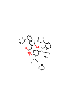 CC(c1ccccc1)c1cc(C2CCCC(c3ccccc3)C2)c(O)c(C(C(=O)O)c2cc(C(C)c3ccccc3)cc(C3CCCC(c4ccccc4)C3)c2O)c1